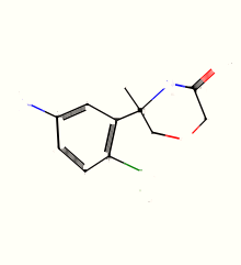 CC1(c2cc(N)ccc2F)COCC(=O)N1.Cl